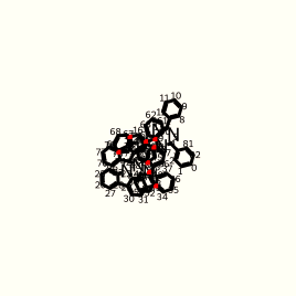 c1ccc(-c2nc(-c3ccccc3)nc(-c3ccc4c(c3)C(n3c5ccccc5c5ccc6c7ccccc7n(-c7ccccc7)c6c53)(n3c5ccccc5c5ccc6c7ccccc7n(-c7ccccc7)c6c53)c3ccccc3-4)n2)cc1